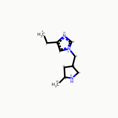 CCc1cn(CC2CNC(C)C2)cn1